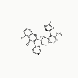 CC[C@H](Nc1ncnc(N)c1-c1nnc(C)o1)c1nc2cccc(F)c2c(=O)n1-c1ccccc1